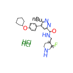 CCCCc1nnc(C(=O)NC[C@@H]2CCNC[C@@H]2F)cc1-c1ccc(OC2CCCCC2)cc1.Cl.Cl